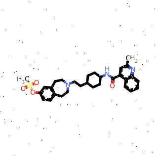 Cc1cc(C(=O)NC2CCC(CCN3CCc4ccc(OS(C)(=O)=O)cc4CC3)CC2)c2ccccc2n1